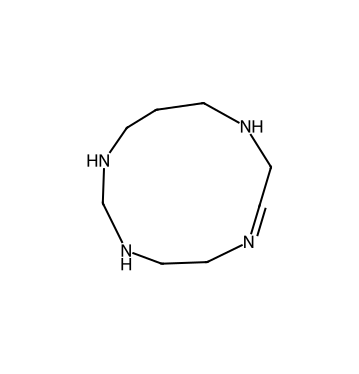 C1=NCCNCNCCCNC1